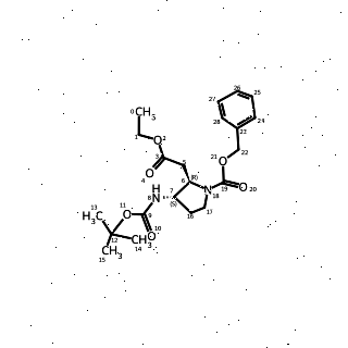 CCOC(=O)C[C@@H]1[C@@H](NC(=O)OC(C)(C)C)CCN1C(=O)OCc1ccccc1